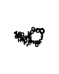 C=C[C@@H]1C[C@]1(NC(=O)[C@@H]1C[C@@H]2CN1C(=O)[C@H](CC(F)(F)F)NC(=O)N(C)CC/C=C/c1cccc3c1CN(C3)C(=O)O2)C(=O)NS(=O)(=O)C1CC1